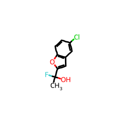 CC(O)(F)c1cc2cc(Cl)ccc2o1